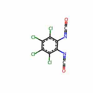 O=C=Nc1c(Cl)c(Cl)c(Cl)c(Cl)c1N=C=O